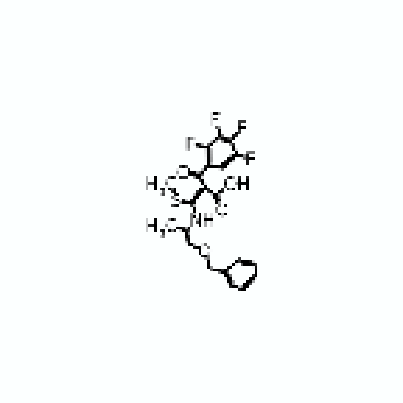 CSC(NC(C)COCc1ccccc1)=C(C(=O)O)C(=O)c1cc(F)c(F)c(F)c1F